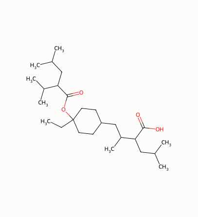 CCC1(OC(=O)C(CC(C)C)C(C)C)CCC(CC(C)C(CC(C)C)C(=O)O)CC1